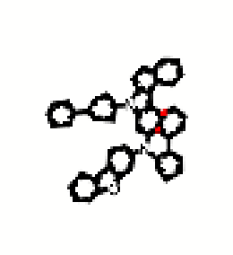 c1ccc(-c2ccc(-n3c4cc(N(c5ccc6c(c5)oc5ccccc56)c5ccccc5-c5ccccc5)ccc4c4c5ccccc5ccc43)cc2)cc1